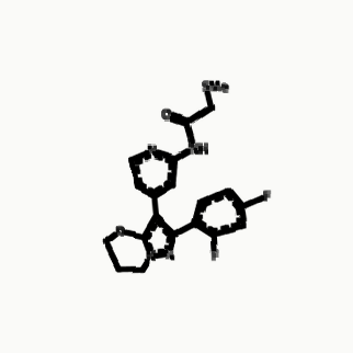 CSCC(=O)Nc1cc(-c2c(-c3ccc(F)cc3F)nn3c2OCCC3)ccn1